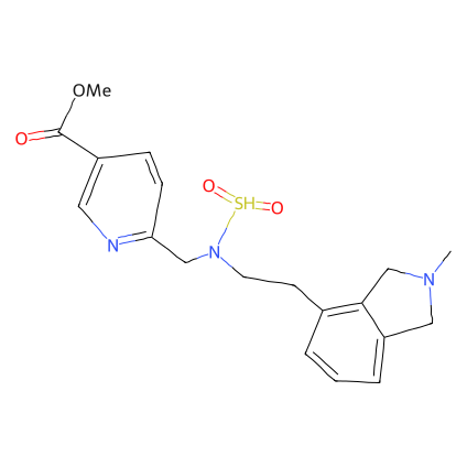 COC(=O)c1ccc(CN(CCc2cccc3c2CN(C)C3)[SH](=O)=O)nc1